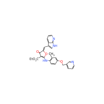 CCOC(=O)C1=C(Nc2ccc(OCc3cccnc3)cc2C)OC(=Cc2c[nH]c3ncccc23)C1=O